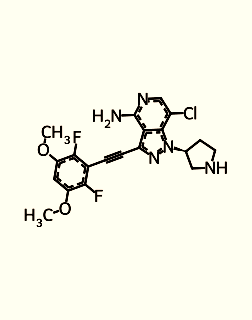 COc1cc(OC)c(F)c(C#Cc2nn([C@H]3CCNC3)c3c(Cl)cnc(N)c23)c1F